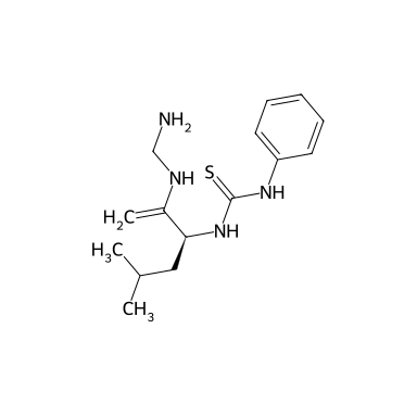 C=C(NCN)[C@H](CC(C)C)NC(=S)Nc1ccccc1